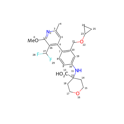 COc1nc(C)cc(-c2ccc(NC3(C(=O)O)CCOCC3)cc2COC2CC2)c1C(F)F